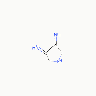 N=C1CNCC1=N